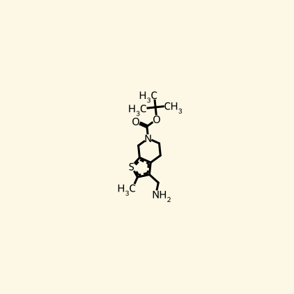 Cc1sc2c(c1CN)CCN(C(=O)OC(C)(C)C)C2